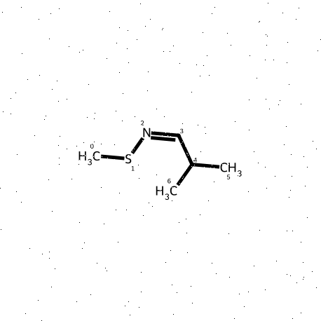 CS/N=C\C(C)C